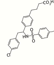 O=C(O)CCCc1ccc(C(Cc2ccc(Cl)cc2)NS(=O)(=O)c2ccc(Cl)cc2)cc1